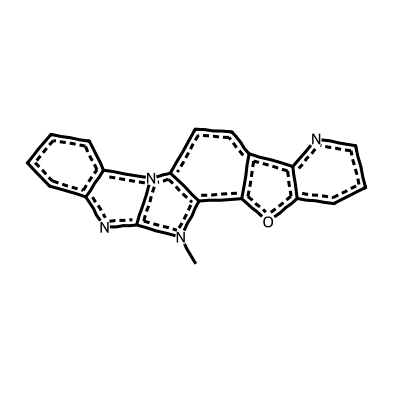 Cn1c2c3oc4cccnc4c3ccc2n2c3ccccc3nc12